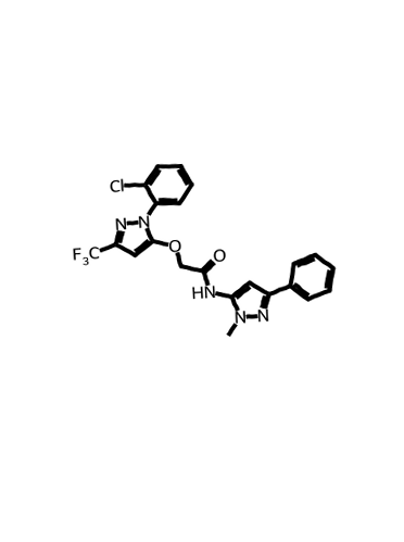 Cn1nc(-c2ccccc2)cc1NC(=O)COc1cc(C(F)(F)F)nn1-c1ccccc1Cl